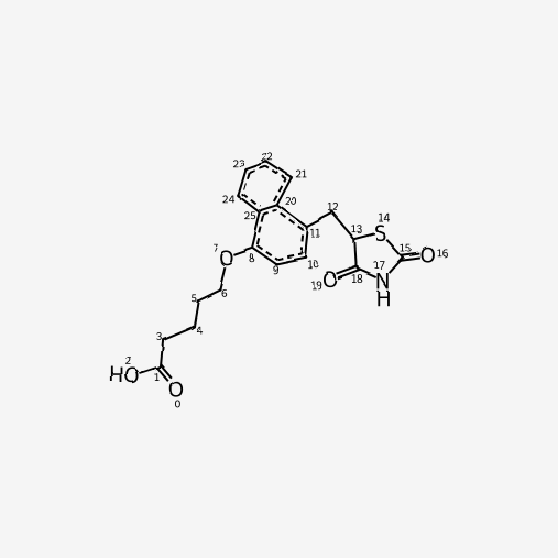 O=C(O)CCCCOc1ccc(CC2SC(=O)NC2=O)c2ccccc12